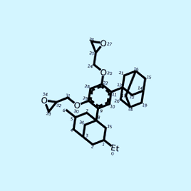 CCC1CC2CC(C)CC(c3cc(C45CC6CC(CC(C6)C4)C5)c(OCC4CO4)cc3OCC3CO3)(C1)C2